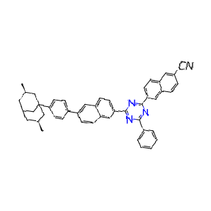 C[C@@H]1CC2C[C@H](C)CC(c3ccc(-c4ccc5cc(-c6nc(-c7ccccc7)nc(-c7ccc8cc(C#N)ccc8c7)n6)ccc5c4)cc3)(C2)C1